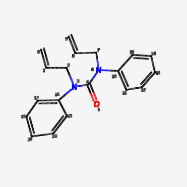 C=CCN(C(=O)N(CC=C)c1ccccc1)c1ccccc1